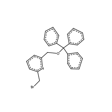 BrCc1cccc(COC(c2ccccc2)(c2ccccc2)c2ccccc2)n1